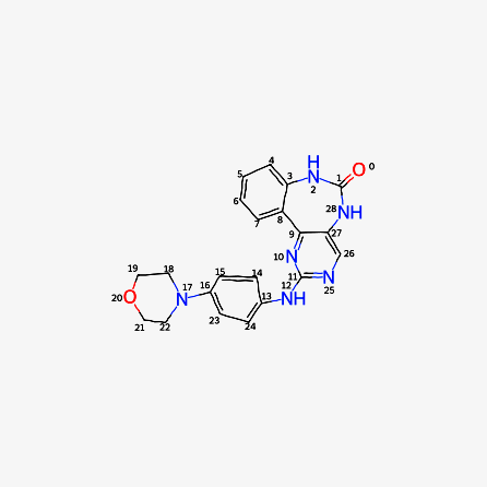 O=C1Nc2ccccc2-c2nc(Nc3ccc(N4CCOCC4)cc3)ncc2N1